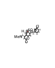 CNCc1cc(=O)oc2cc(OCc3cccc(Cl)c3)ccc12.CS(=O)(=O)O